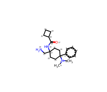 CN(C)C1(c2ccccc2)CCC(CN)(NC(=O)C2CCC2)CC1